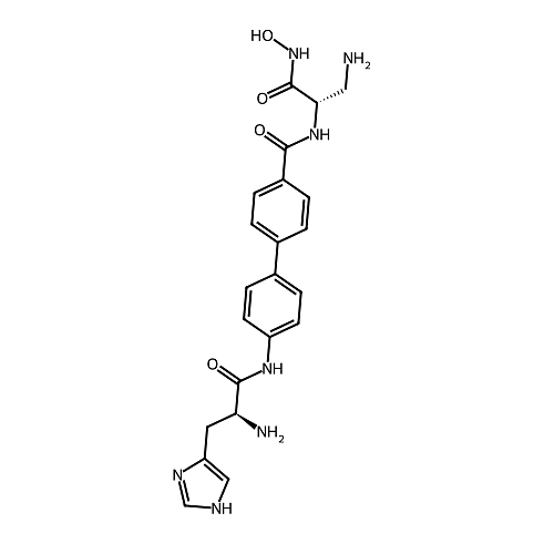 NC[C@H](NC(=O)c1ccc(-c2ccc(NC(=O)[C@@H](N)Cc3c[nH]cn3)cc2)cc1)C(=O)NO